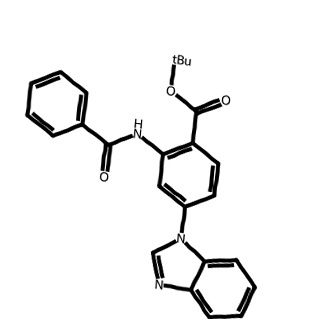 CC(C)(C)OC(=O)c1ccc(-n2cnc3ccccc32)cc1NC(=O)c1ccccc1